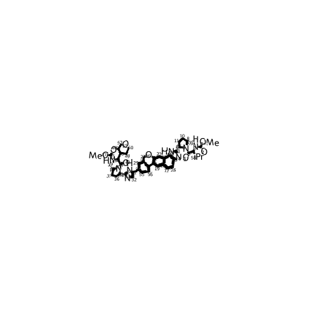 COC(=O)NC(C(=O)N1[C@@H](C)CC[C@H]1c1nc2ccc3cc4c(cc3c2[nH]1)OCc1cc(-c2cnc([C@@H]3CC[C@H](C)N3C(=O)[C@@H](NC(=O)OC)C3CCOCC3)[nH]2)ccc1-4)C(C)C